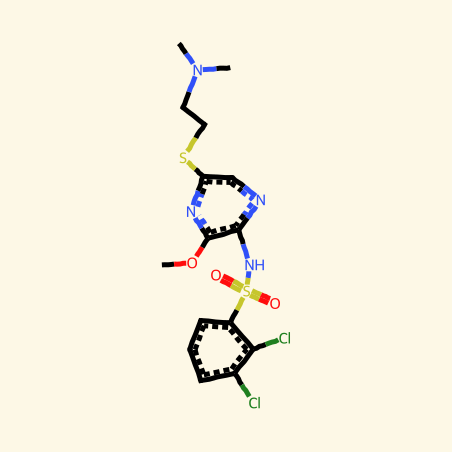 COc1nc(SCCN(C)C)cnc1NS(=O)(=O)c1cccc(Cl)c1Cl